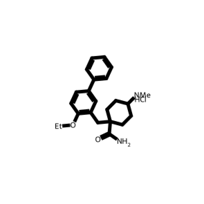 CCOc1ccc(-c2ccccc2)cc1CC1(C(N)=O)CCC(NC)CC1.Cl